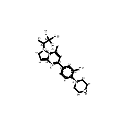 CC1=CC(c2ccc(N3CCOCC3)c(F)c2)=NC2=CCN(C(C)C(F)(F)F)N12